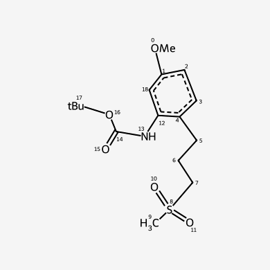 COc1ccc(CCCS(C)(=O)=O)c(NC(=O)OC(C)(C)C)c1